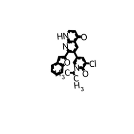 CC(C)n1cc(-c2cc3c(=O)cc[nH]c3nc2-c2cc3ccccc3o2)cc(Cl)c1=O